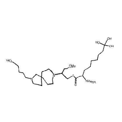 CCCCCCCC(CCCCCCC(O)(O)O)C(=O)OCC(COC)N1CCC2(CCN(CCCCO)C2)CC1